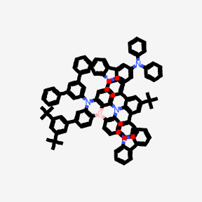 CC(C)(C)c1cc(-c2ccc3c(c2)N(c2cc(-c4ccccc4)cc(-c4ccccc4)c2)c2cc(-n4c5ccccc5c5cc(N(c6ccccc6)c6ccccc6)ccc54)cc4c2B3c2ccc(-n3c5ccccc5c5ccccc53)cc2N4c2c(-c3ccccc3)cc(C(C)(C)C)cc2-c2ccccc2)cc(C(C)(C)C)c1